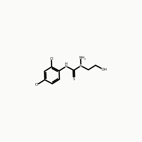 NN(CCO)C(=S)Nc1ccc(Cl)cc1Cl